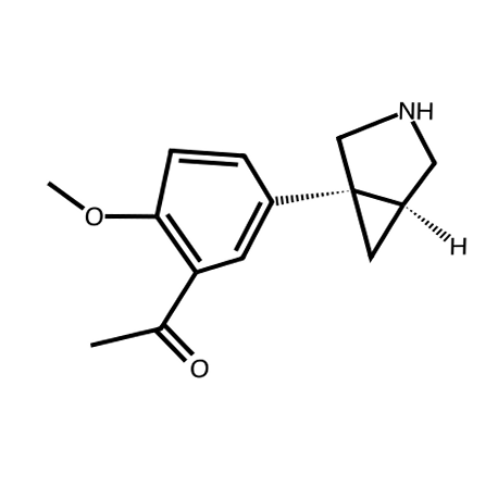 COc1ccc([C@]23CNC[C@H]2C3)cc1C(C)=O